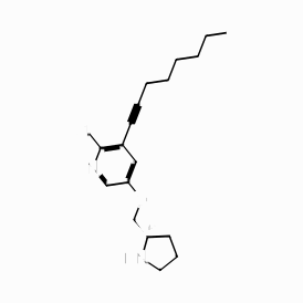 CCCCCCC#Cc1cc(OC[C@H]2CCCN2)cnc1Cl